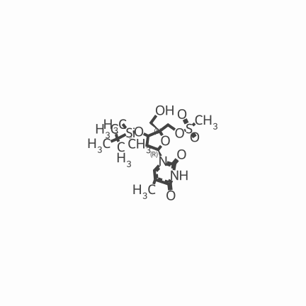 Cc1cn([C@H]2CC(O[Si](C)(C)C(C)(C)C)[C@](CO)(COS(C)(=O)=O)O2)c(=O)[nH]c1=O